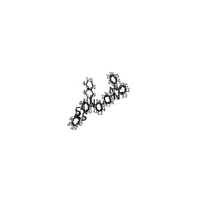 C1=CC2=C(CC1)CC1C(=C2)N(c2cccc(-c3ccc(-c4nc(-c5ccccc5)c5ccccc5n4)cc3)c2)c2cc3c(cc21)Sc1ccccc1S3